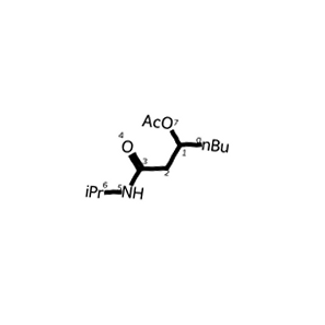 CCCCC(CC(=O)NC(C)C)OC(C)=O